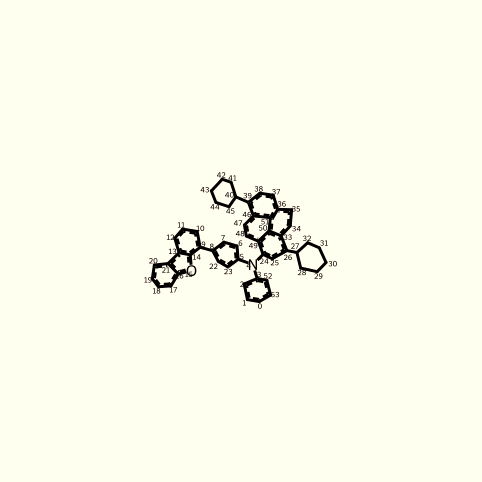 c1ccc(N(c2ccc(-c3cccc4c3oc3ccccc34)cc2)c2cc(C3CCCCC3)c3ccc4ccc(C5CCCCC5)c5ccc2c3c45)cc1